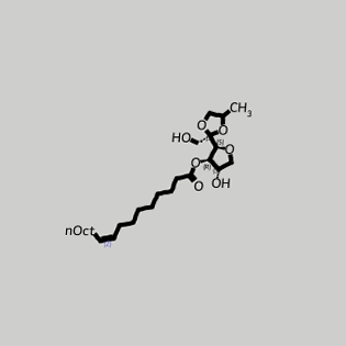 CCCCCCCC/C=C\CCCCCCCC(=O)O[C@@H]1[C@@H](O)CO[C@@H]1[C@@]1(CO)OCC(C)O1